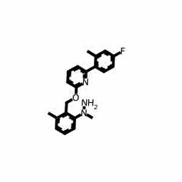 Cc1cc(F)ccc1-c1cccc(OCc2c(C)cccc2N(C)N)n1